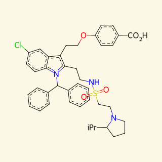 CC(C)C1CCCN1CCS(=O)(=O)NCCc1c(CCOc2ccc(C(=O)O)cc2)c2cc(Cl)ccc2n1C(c1ccccc1)c1ccccc1